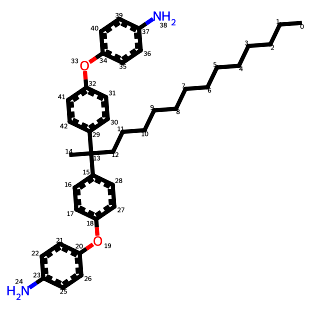 CCCCCCCCCCCCCC(C)(c1ccc(Oc2ccc(N)cc2)cc1)c1ccc(Oc2ccc(N)cc2)cc1